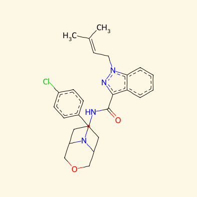 CC(C)=CCn1nc(C(=O)NC2CC3COCC(C2)N3Cc2ccc(Cl)cc2)c2ccccc21